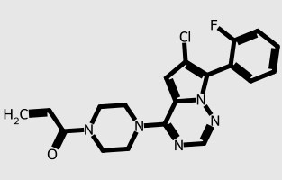 C=CC(=O)N1CCN(c2ncnn3c(-c4ccccc4F)c(Cl)cc23)CC1